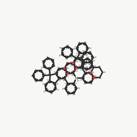 c1ccc(C2(c3ccccc3)c3ccccc3-c3c(-c4ccccc4N(c4ccccc4-c4cccc5cccc(C6CCCCC6)c45)c4cccc5c4-c4ccccc4C5(c4ccccc4)c4ccccc4)cccc32)cc1